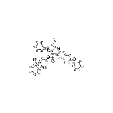 CCCc1nc(Cc2cccc(Oc3ccccc3)c2)c(C)c(C(=O)OCCN2C(=O)c3ccccc3C2=O)c1OCc1ccccc1